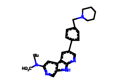 CC(C)(C)N(C(=O)O)c1cc2c(cn1)[nH]c1ncc(-c3ccc(CN4CCCCC4)cc3)cc12